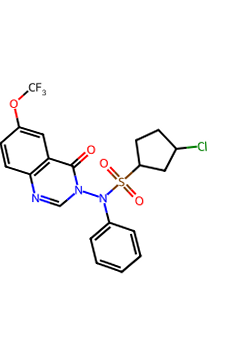 O=c1c2cc(OC(F)(F)F)ccc2ncn1N(c1ccccc1)S(=O)(=O)C1CCC(Cl)C1